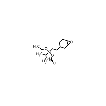 CCO[Si](CCC1CCC2OC2C1)(OC(C)=O)C(C)C